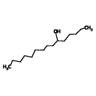 CCCCCCCCCC(O)CCCCC